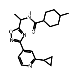 CC1CCC(C(=O)NC(C)c2nc(-c3ccnc(C4CC4)c3)no2)CC1